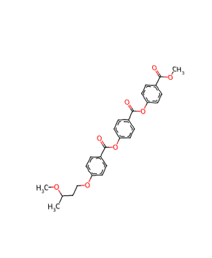 COC(=O)c1ccc(OC(=O)c2ccc(OC(=O)c3ccc(OCCC(C)OC)cc3)cc2)cc1